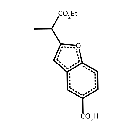 CCOC(=O)C(C)c1cc2cc(C(=O)O)ccc2o1